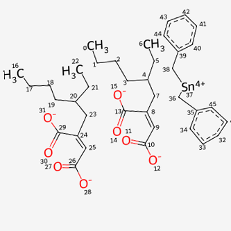 CCCCC(CC)C/C(=C/C(=O)[O-])C(=O)[O-].CCCCC(CC)C/C(=C/C(=O)[O-])C(=O)[O-].c1ccc([CH2][Sn+4][CH2]c2ccccc2)cc1